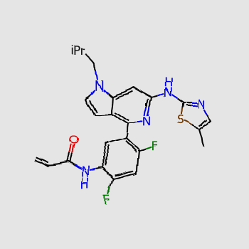 C=CC(=O)Nc1cc(-c2nc(Nc3ncc(C)s3)cc3c2ccn3CC(C)C)c(F)cc1F